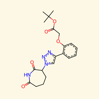 CC(C)(C)OC(=O)COc1ccccc1-c1cn(C2CCCC(=O)NC2=O)nn1